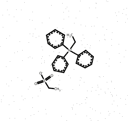 CCS(=O)(=O)[O-].CC[N+](c1ccccc1)(c1ccccc1)c1ccccc1